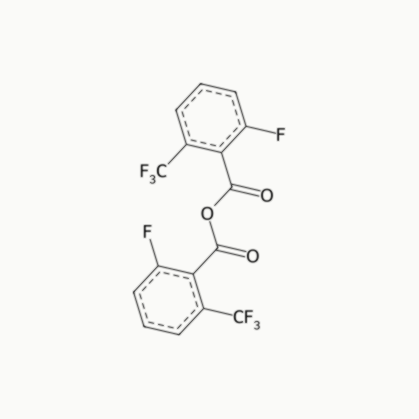 O=C(OC(=O)c1c(F)cccc1C(F)(F)F)c1c(F)cccc1C(F)(F)F